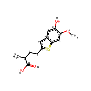 COc1cc2sc(CCC(C)C(=O)O)cc2cc1O